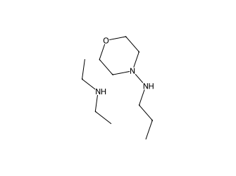 CCCNN1CCOCC1.CCNCC